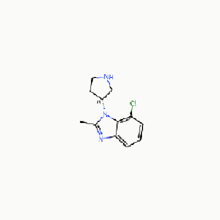 Cc1nc2cccc(Cl)c2n1[C@@H]1CCNC1